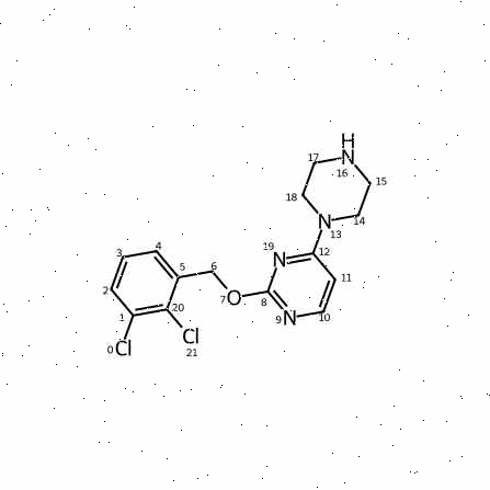 Clc1cccc(COc2nccc(N3CCNCC3)n2)c1Cl